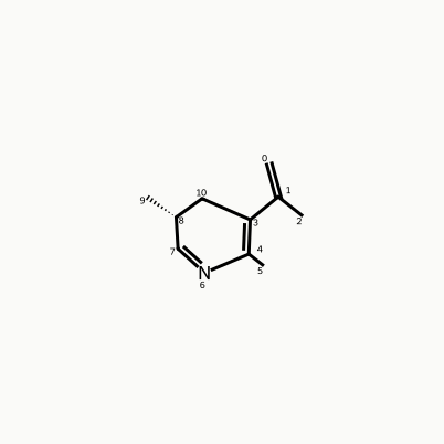 C=C(C)C1=C(C)N=C[C@H](C)C1